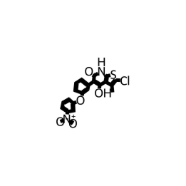 Cc1c(Cl)sc2[nH]c(=O)c(-c3cccc(Oc4cccc([N+](=O)[O-])c4)c3)c(O)c12